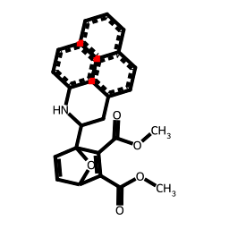 COC(=O)C1=C(C(=O)OC)C2(C(Cc3ccc4ccccc4c3)Nc3ccccc3)C=CC1O2